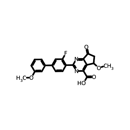 COc1cccc(-c2ccc(-c3nc(C(=O)O)c4c(n3)C(=O)CC4OC)c(F)c2)c1